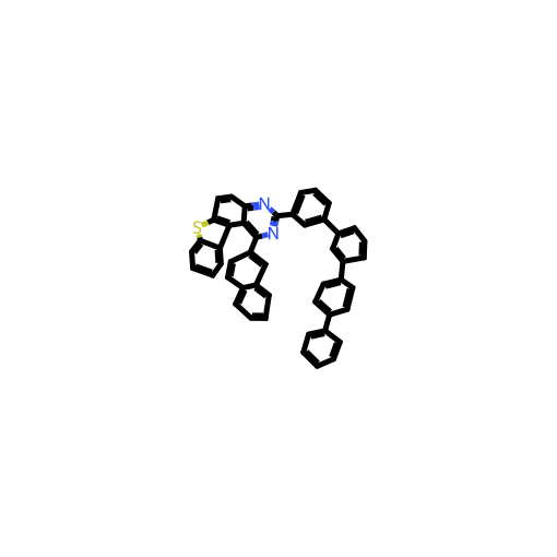 c1ccc(-c2ccc(-c3cccc(-c4cccc(-c5nc(-c6ccc7ccccc7c6)c6c(ccc7sc8ccccc8c76)n5)c4)c3)cc2)cc1